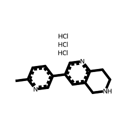 Cc1ccc(-c2cnc3c(c2)CNCC3)cn1.Cl.Cl.Cl